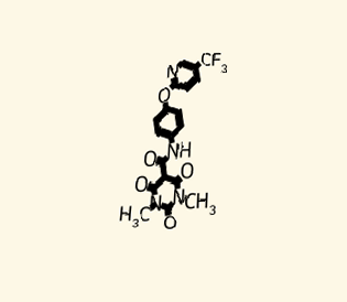 CN1C(=O)C(C(=O)Nc2ccc(Oc3ccc(C(F)(F)F)cn3)cc2)C(=O)N(C)C1=O